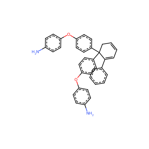 Nc1ccc(Oc2ccc(C3(c4ccc(Oc5ccc(N)cc5)cc4)CC=CC=C3c3ccccc3)cc2)cc1